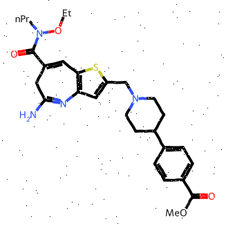 CCCN(OCC)C(=O)C1=Cc2sc(CN3CCC(c4ccc(C(=O)OC)cc4)CC3)cc2N=C(N)C1